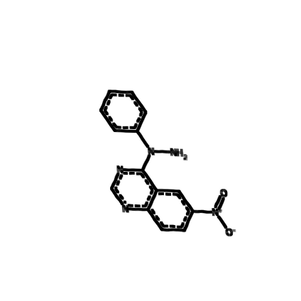 NN(c1ccccc1)c1ncnc2ccc([N+](=O)[O-])cc12